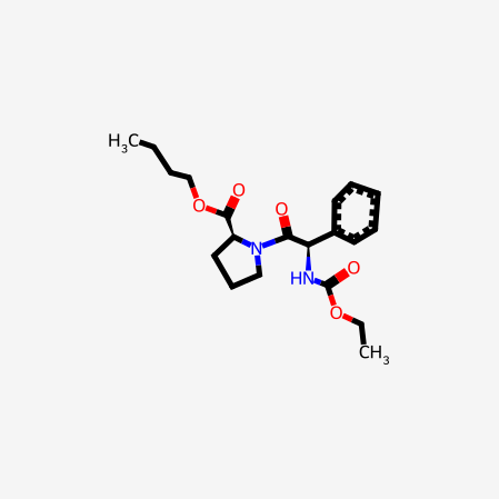 CCCCOC(=O)[C@@H]1CCCN1C(=O)[C@H](NC(=O)OCC)c1ccccc1